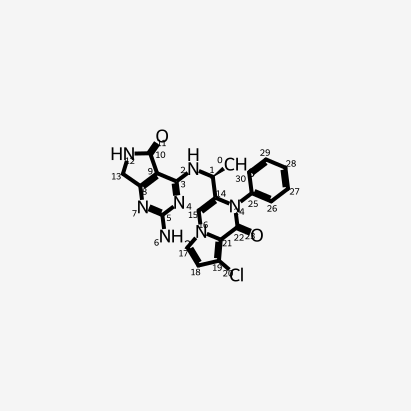 C[C@H](Nc1nc(N)nc2c1C(=O)NC2)c1cn2ccc(Cl)c2c(=O)n1-c1ccccc1